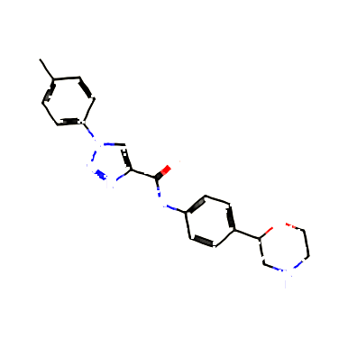 Cc1ccc(-n2cc(C(=O)Nc3ccc(C4CNCCO4)cc3)nn2)cc1